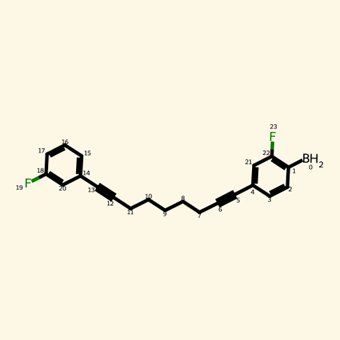 Bc1ccc(C#CCCCCCC#Cc2cccc(F)c2)cc1F